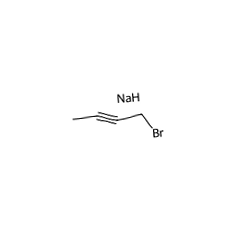 CC#CCBr.[NaH]